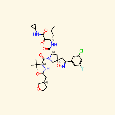 CCC[C@H](NC(=O)[C@@H]1C[C@]2(CC(c3cc(F)cc(Cl)c3)=NO2)CN1C(=O)[C@@H](NC(=O)C[C@H]1CCOC1)C(C)(C)C)C(=O)C(=O)NC1CC1